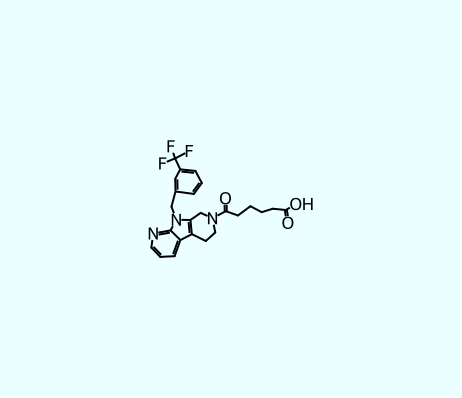 O=C(O)CCCCC(=O)N1CCc2c(n(Cc3cccc(C(F)(F)F)c3)c3ncccc23)C1